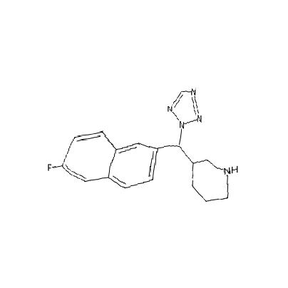 Fc1ccc2cc(C(C3CCCNC3)n3ncnn3)ccc2c1